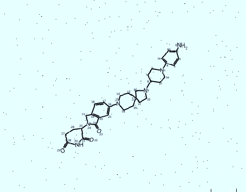 Nc1ccc(N2CCC(N3CCC4(CCN(c5ccc6c(c5)C(=O)N(C5CCC(=O)NC5=O)C6)CC4)C3)CC2)cc1